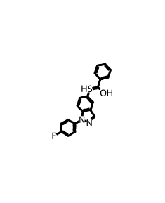 OC(=[SH]c1ccc2c(cnn2-c2ccc(F)cc2)c1)c1ccccc1